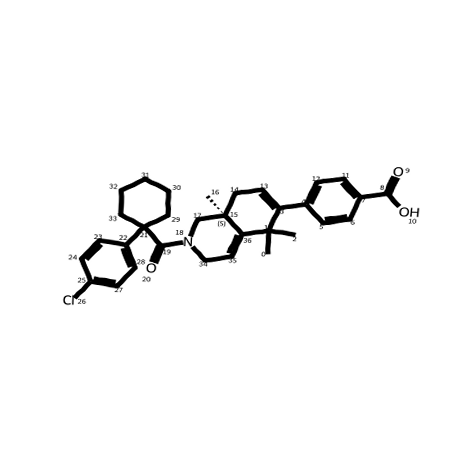 CC1(C)C(c2ccc(C(=O)O)cc2)=CC[C@]2(C)CN(C(=O)C3(c4ccc(Cl)cc4)CCCCC3)CC=C12